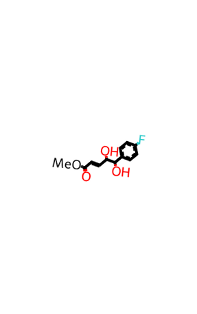 COC(=O)/C=C/C(O)C(O)c1ccc(F)cc1